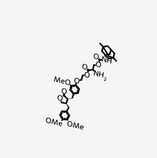 COc1ccc(C[C@H]2COC(=O)[C@@H]2Cc2ccc(OCCOC(=O)C(N)COC(=O)NC34CC5CC(C)(CC(C)(C5)C3)C4)c(OC)c2)cc1OC